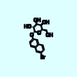 OC[C@H]1O[C@H](Oc2ccc3cc(Br)ccc3c2)[C@H](O)[C@@H](O)[C@H]1O